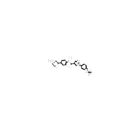 O=C(Nc1ccc(C2CNCCO2)cc1)c1cnn(-c2ccc(OC(F)(F)F)cc2)c1